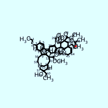 CCSc1ccc2c(c1)C1=C(B2)[C@@](C(=O)OC)(C2C=C3C(=CC2OC)N(C=O)[C@H]2[C@@](O)(C(=O)OC)[C@H](OC(C)=O)[C@]4(CC)C=CCN5CC[C@]32[C@@H]54)C[C@@H]2CN(CC1)C[C@](O)(CC)C2